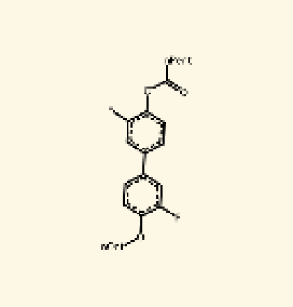 CCCCCCCCOc1ccc(-c2ccc(OC(=O)CCCCC)c(F)c2)cc1F